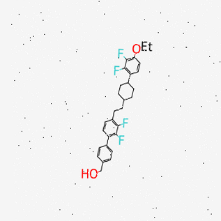 CCOc1ccc(C2CCC(CCc3ccc(-c4ccc(CO)cc4)c(F)c3F)CC2)c(F)c1F